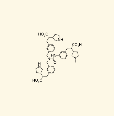 O=C(O)[C@@H](Cc1cccc(CN(Cc2cccc(C[C@H](C(=O)O)[C@H]3CCNC3)c2)C(=O)Nc2cccc(C[C@H](C(=O)O)[C@H]3CCNC3)c2)c1)[C@H]1CCNC1